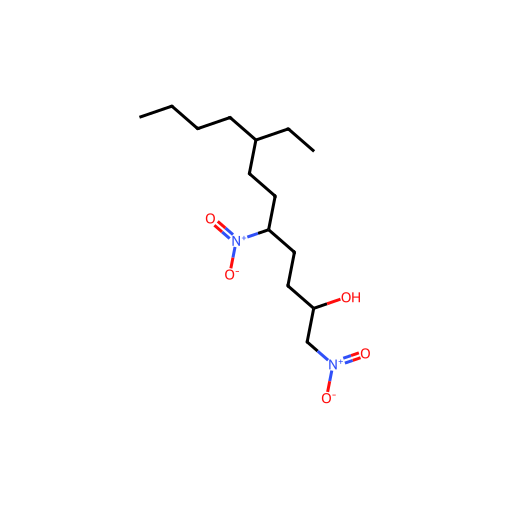 CCCCC(CC)CCC(CCC(O)C[N+](=O)[O-])[N+](=O)[O-]